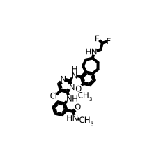 CNC(=O)c1ccccc1Nc1nc(Nc2c(OC)ccc3c2CCC(NCC(F)F)CC3)ncc1Cl